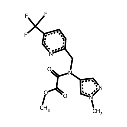 COC(=O)C(=O)N(Cc1ccc(C(F)(F)F)cn1)c1cnn(C)c1